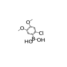 COc1cc(Cl)c(B(O)O)cc1OC